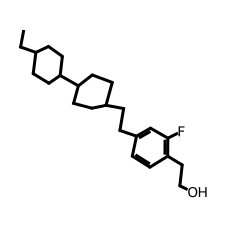 CCC1CCC(C2CCC(CCc3ccc(CCO)c(F)c3)CC2)CC1